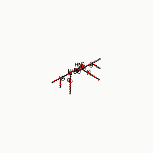 CCCCCCCCCCCOC(=O)CCCCCN(CCCCCCCC(=O)OC(CCCCCCCC)CCCCCCCC)CCNC(=O)CN(CCCNc1c(NC)c(=O)c1=O)CC(=O)NCCN(CCCCCCCC(=O)OC(CCCCCCCC)CCCCCCCC)CCCCCC(=O)OCCCCCCCCCCC